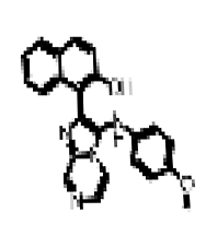 COc1ccc(Nc2c(-c3c(O)ccc4ccccc34)nc3cnccn23)cc1